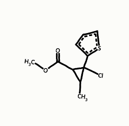 COC(=O)C1C(C)C1(Cl)c1cccs1